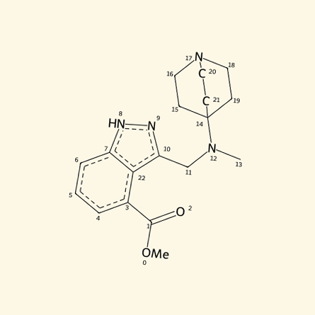 COC(=O)c1cccc2[nH]nc(CN(C)C34CCN(CC3)CC4)c12